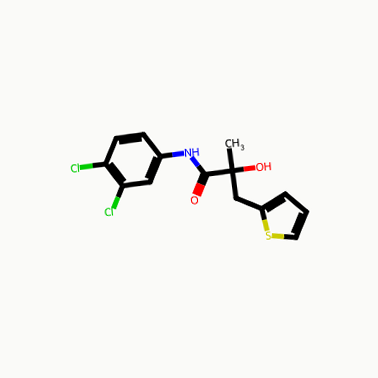 CC(O)(Cc1cccs1)C(=O)Nc1ccc(Cl)c(Cl)c1